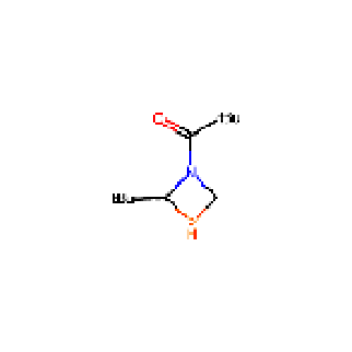 CC(C)(C)C(=O)N1CPC1C(C)(C)C